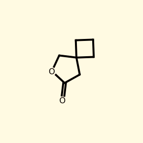 O=C1CC2(CCC2)CO1